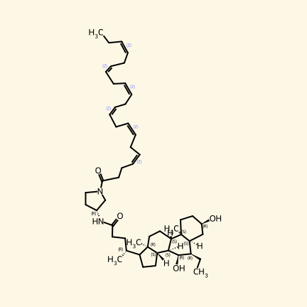 CC/C=C\C/C=C\C/C=C\C/C=C\C/C=C\C/C=C\CCC(=O)N1CC[C@@H](NC(=O)CC[C@@H](C)C2CC[C@H]3[C@@H]4[C@H](O)[C@H](CC)[C@@H]5C[C@H](O)CC[C@]5(C)[C@H]4CC[C@]23C)C1